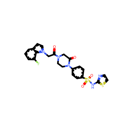 O=C(Cn1ccc2cccc(F)c21)N1CCN(c2ccc(S(=O)(=O)Nc3nccs3)cc2)C(=O)C1